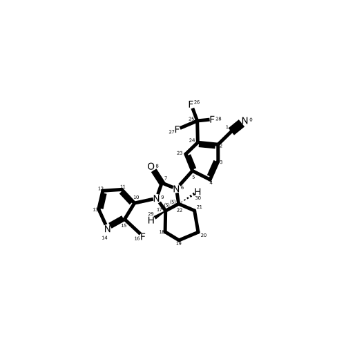 N#Cc1ccc(N2C(=O)N(c3cccnc3F)[C@H]3CCCC[C@@H]32)cc1C(F)(F)F